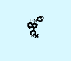 CC(C)(C)C1=NCC=C(c2ccc(NC3CCOCC3)c3ccccc23)C1